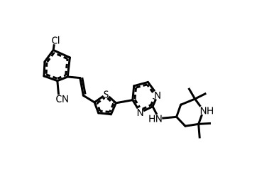 CC1(C)CC(Nc2nccc(-c3ccc(C=Cc4cc(Cl)ccc4C#N)s3)n2)CC(C)(C)N1